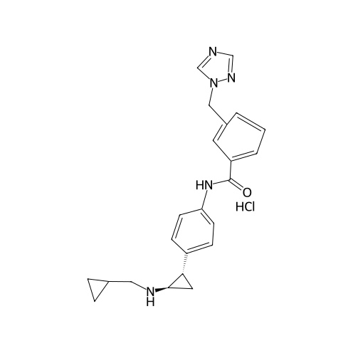 Cl.O=C(Nc1ccc([C@@H]2C[C@H]2NCC2CC2)cc1)c1cccc(Cn2cncn2)c1